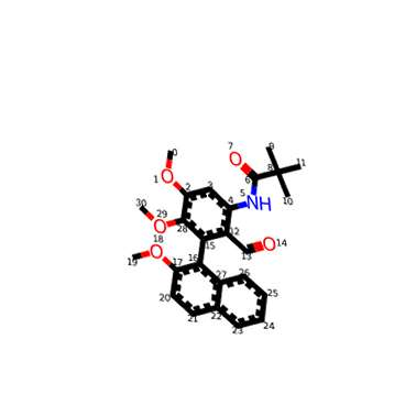 COc1cc(NC(=O)C(C)(C)C)c(C=O)c(-c2c(OC)ccc3ccccc23)c1OC